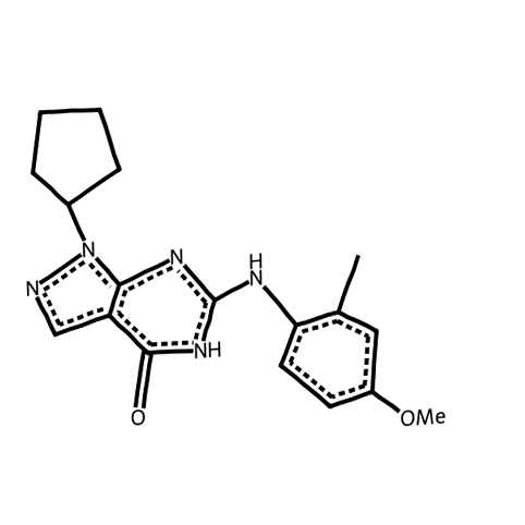 COc1ccc(Nc2nc3c(cnn3C3CCCC3)c(=O)[nH]2)c(C)c1